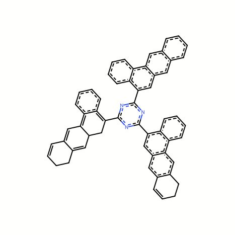 C1=CC2=CC3=c4ccccc4=C(c4nc(-c5cc6cc7c(cc6c6ccccc56)CCC=C7)nc(-c5cc6cc7ccccc7cc6c6ccccc56)n4)CC3C=C2CC1